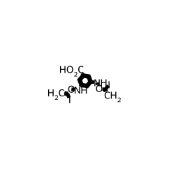 C=C(I)ONc1cc(NOC(=C)I)cc(C(=O)O)c1